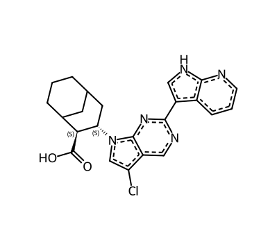 O=C(O)[C@H]1C2CCCC(C2)C[C@@H]1n1cc(Cl)c2cnc(-c3c[nH]c4ncccc34)nc21